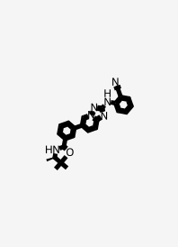 C[C@@H](NC(=O)c1cccc(-c2ccc3nc(Nc4ccccc4C#N)nn3c2)c1)C(C)(C)C